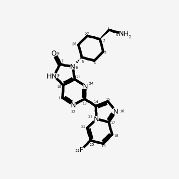 NC[C@H]1CC[C@H](n2c(=O)[nH]c3cnc(-c4cnc5ccc(F)cn45)nc32)CC1